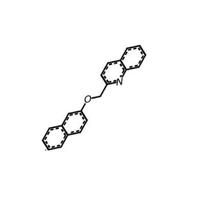 [c]1ccc2cc(OCc3ccc4ccccc4n3)ccc2c1